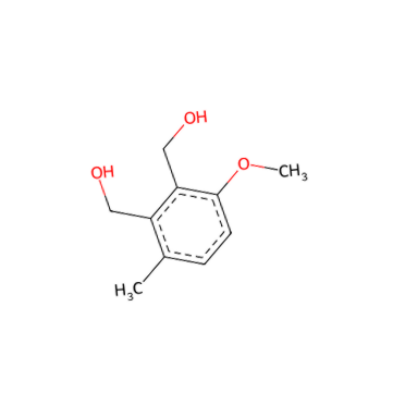 COc1ccc(C)c(CO)c1CO